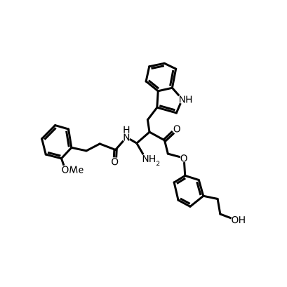 COc1ccccc1CCC(=O)NC(N)C(Cc1c[nH]c2ccccc12)C(=O)COc1cccc(CCO)c1